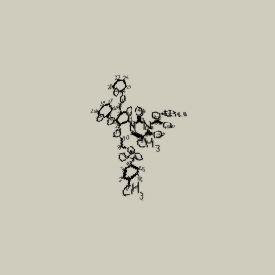 Cc1ccc(S(=O)(=O)OCCO[C@@H]2[C@@H](OC3CCCCO3)[C@@H](COC3CCCCO3)O[C@H]2n2cc(C)c(=O)n(C(=O)OC(C)(C)C)c2=O)cc1